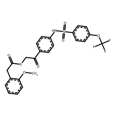 COc1ccccc1CC(=O)SCC(=O)c1ccc(NS(=O)(=O)c2ccc(OC(F)(F)F)cc2)cc1